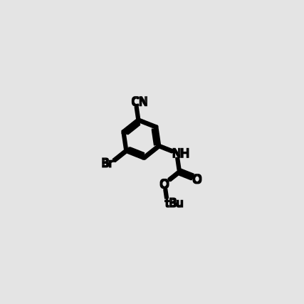 CC(C)(C)OC(=O)Nc1cc(Br)cc(C#N)c1